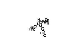 CCS(=O)(=O)N1CCC(c2c[nH]c3c(C(N)=O)cc(-c4ccc(CNC5CCCC5)cc4)cc23)CC1.O=C(O)C(F)(F)F